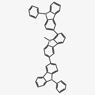 Cn1c2ccc(-c3ccc4c(c3)c3ccccc3n4-c3ccccc3)cc2c2cccc(-c3ccc4c(c3)c3ccccc3n4-c3ccccc3)c21